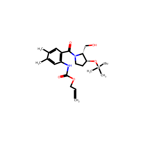 C=CCOC(=O)Nc1cc(C)c(C)cc1C(=O)N1CC[C@H](O[Si](C)(C)C(C)(C)C)[C@H]1CO